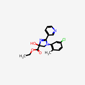 CCOC(=O)C1(O)CN(c2cc(Cl)ccc2C)C(c2cccnc2)=N1